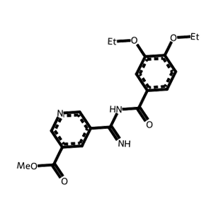 CCOc1ccc(C(=O)NC(=N)c2cncc(C(=O)OC)c2)cc1OCC